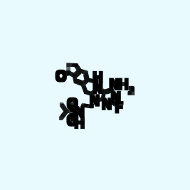 CC(C)S(=O)(=O)NCCN1c2nc(F)nc(N)c2NC1Cc1cc2c(cc1I)CCC2=O